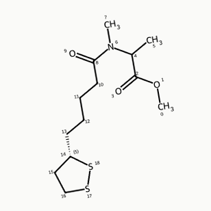 COC(=O)C(C)N(C)C(=O)CCCC[C@H]1CCSS1